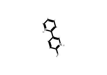 Fc1ccc(-c2ccccn2)cn1